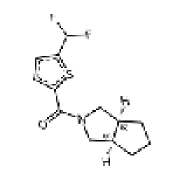 O=C(c1ccc(C(F)F)s1)N1C[C@H]2CCC[C@H]2C1